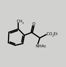 CCOC(=O)C(NC(C)=O)C(=O)c1ccccc1C